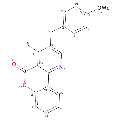 COc1ccc(Cc2cnc3c(c2C)c(=O)oc2ccccc23)cc1